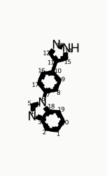 [c]1ccc2ncn(-c3ccc(-c4cn[nH]c4)cc3)c2c1